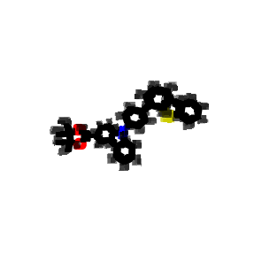 CC1(C)OB(c2ccc3c(c2)c2ccccc2n3-c2ccc(-c3cccc4c3sc3ccccc34)cc2)OC1(C)C